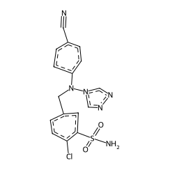 N#Cc1ccc(N(Cc2ccc(Cl)c(S(N)(=O)=O)c2)n2cnnc2)cc1